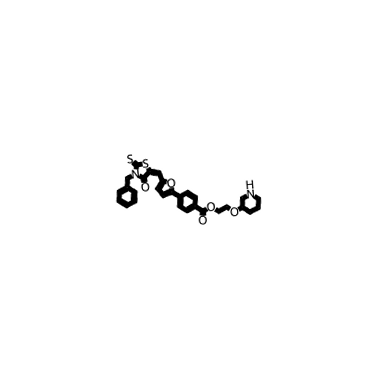 O=C(OCCOC1CCCNC1)c1ccc(-c2ccc(/C=C3/SC(=S)N(Cc4ccccc4)C3=O)o2)cc1